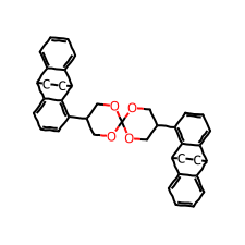 c1ccc2c(c1)C1CCC2c2c(C3COC4(OC3)OCC(c3cccc5c3C3CCC5c5ccccc53)CO4)cccc21